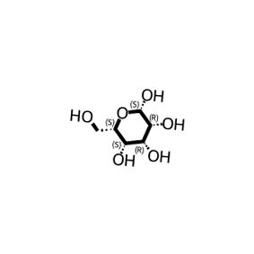 OC[C@@H]1O[C@H](O)[C@H](O)[C@H](O)[C@@H]1O